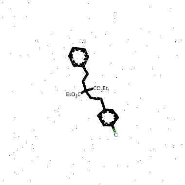 CCOC(=O)C(CCc1ccccc1)(CCc1ccc(Cl)cc1)C(=O)OCC